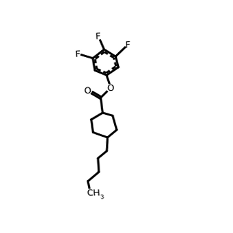 CCCCCC1CCC(C(=O)Oc2cc(F)c(F)c(F)c2)CC1